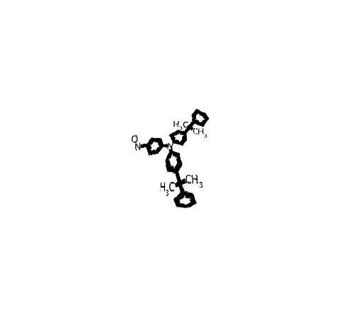 CC(C)(c1ccccc1)c1ccc(N(c2ccc(N=O)cc2)c2ccc(C(C)(C)c3ccccc3)cc2)cc1